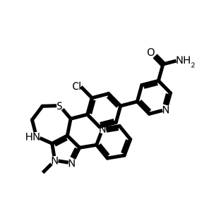 Cn1nc(-c2ccccn2)c2c1NCCSC2c1ccc(-c2cncc(C(N)=O)c2)cc1Cl